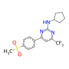 CS(=O)(=O)c1ccc(-c2cc(C(F)(F)F)nc(NC3CCCC3)n2)cc1